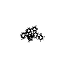 c1ccc(-c2ccc([Si](c3ccccc3)(c3ccccc3)c3cccc4c5ccccc5n(-c5ccccc5)c34)cn2)cc1